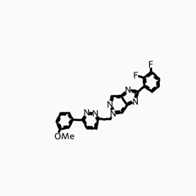 COc1cccc(-c2ccc(Cn3cc4nc(-c5cccc(F)c5F)nc-4cn3)nn2)c1